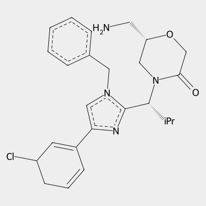 CC(C)[C@H](c1nc(C2=CC(Cl)CC=C2)cn1Cc1ccccc1)N1C[C@H](CN)OCC1=O